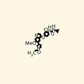 C=CC(=O)N1CCC(c2cc3c(Oc4ccc(NC(=O)NC5CC5)c(Cl)c4)ccnc3cc2OC)C1